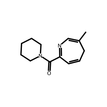 CC1=CN=C(C(=O)N2CCCCC2)C=CC1